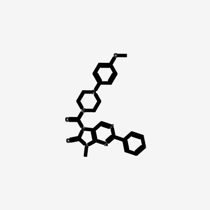 COc1ccc(N2CCN(C(=O)n3c(=O)n(C)c4nc(-c5ccccc5)ncc43)CC2)cc1